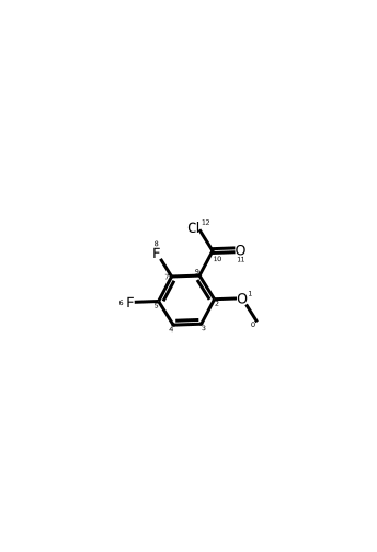 COc1ccc(F)c(F)c1C(=O)Cl